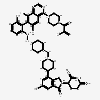 C=C(Cl)C(=O)N1CCN(c2ncnc3c(F)c(-c4c(F)cccc4OC[C@H]4CC[C@H](CN5CCC(c6cc(F)cc7c6CN(C6CCC(=O)NC6=O)C7=O)CC5)CC4)c(Cl)cc23)CC1